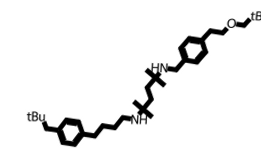 CC(C)(C)COCCc1ccc(CNC(C)(C)CCC(C)(C)NCCCCc2ccc(CC(C)(C)C)cc2)cc1